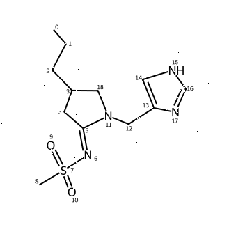 CCCC1C/C(=N\S(C)(=O)=O)N(Cc2c[nH]cn2)C1